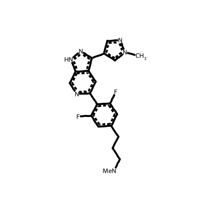 CNCCCc1cc(F)c(-c2cc3c(-c4cnn(C)c4)n[nH]c3cn2)c(F)c1